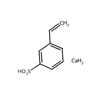 C=Cc1cccc(S(=O)(=O)O)c1.[CaH2]